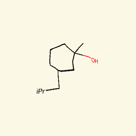 CC(C)CC1CCCC(C)(O)C1